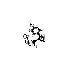 CO[C]=O.N#Cc1csnc1-c1ccc(F)cc1